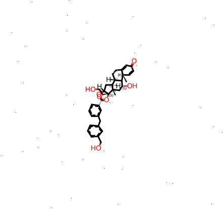 C[C@]12C=CC(=O)C=C1CC[C@@H]1C2[C@@H](O)C[C@@]2(C)[C@H]1C[C@H]1O[C@@H](c3cccc(Cc4cccc(CO)c4)c3)O[C@]12C(=O)CO